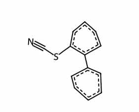 N#CSc1ccccc1-c1ccccc1